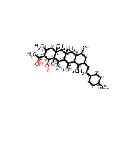 CC(C)C1CC(CCC2CCC(C(C)(C)C)CC2)C(C)C2C(C)C3C(C)C4(C)C(O)C(C(C)O)C(C)C[C@]4(C)C[C@]3(C)CC12